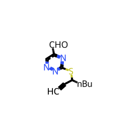 C#CC(CCCC)Sc1nncc(C=O)n1